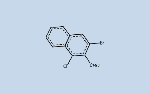 O=Cc1c(Br)cc2ccccc2c1Cl